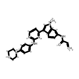 C=CC(=O)Nc1ccc2c(-c3ccnc(Nc4ccc(N5CCOCC5)cc4)n3)cn(C)c2c1